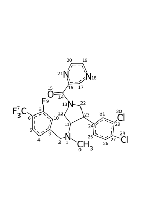 CN(Cc1ccc(C(F)(F)F)c(F)c1)C1CN(C(=O)c2cnccn2)CC1c1ccc(Cl)c(Cl)c1